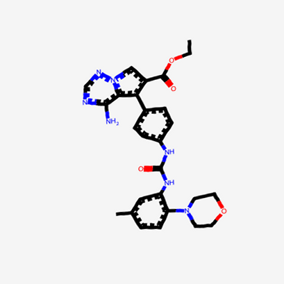 CCOC(=O)c1cn2ncnc(N)c2c1-c1ccc(NC(=O)Nc2cc(C)ccc2N2CCOCC2)cc1